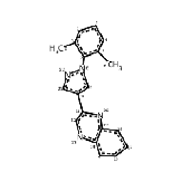 Cc1cccc(C)c1-n1cc(-c2cnc3ccccc3n2)cn1